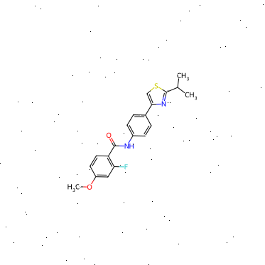 COc1ccc(C(=O)Nc2ccc(-c3csc(C(C)C)n3)cc2)c(F)c1